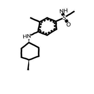 Cc1cc(S(C)(=N)=O)ccc1N[C@H]1CC[C@H](C)CC1